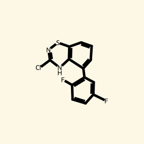 Fc1ccc(F)c(-c2cccc3c2NC(Cl)=NS3)c1